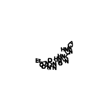 CCC(=O)Cn1c(=O)c2c(ncn2[C@@H](C)C(=O)NC2C=NC=C(C3=CN=C(N4CC5CC5C4)NC3)N2)n(C)c1=O